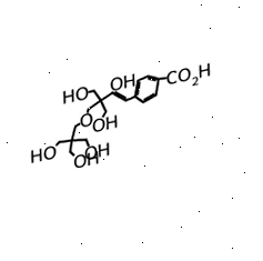 O=C(O)c1ccc(C=C(O)C(CO)(CO)COCC(CO)(CO)CO)cc1